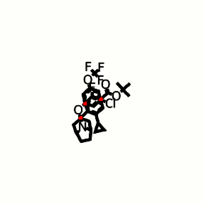 CC(C)(C)OC(=O)c1cc(C2CC2)c(CN2C3CCC2CC(Oc2cc(Cl)cc(OC(F)(F)F)c2)C3)cc1F